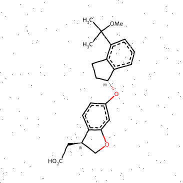 COC(C)(C)c1cccc2c1CC[C@H]2Oc1ccc2c(c1)OC[C@H]2CC(=O)O